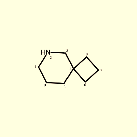 C1CNCC2(C1)CCC2